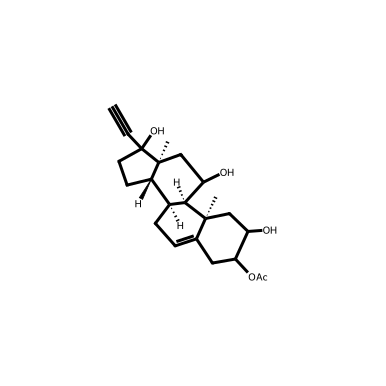 C#CC1(O)CC[C@H]2[C@@H]3CC=C4CC(OC(C)=O)C(O)C[C@]4(C)[C@@H]3C(O)C[C@@]21C